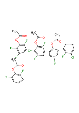 CC(=O)Oc1c(F)ccc(Cl)c1F.CC(=O)Oc1c(F)ccc(F)c1Cl.CC(=O)Oc1c(F)cccc1Cl.CC(=O)Oc1ccc(F)cc1.Fc1cc[c]cc1Cl